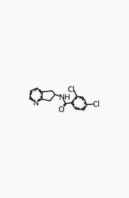 O=C(NC1Cc2cccnc2C1)c1ccc(Cl)cc1Cl